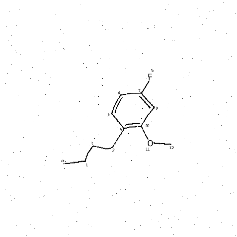 CCCCc1ccc(F)cc1OC